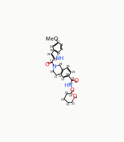 COc1ccc2[nH]c(C(=O)N3CCc4cc(C(=O)NOC5CCCCO5)ccc4C3)cc2c1